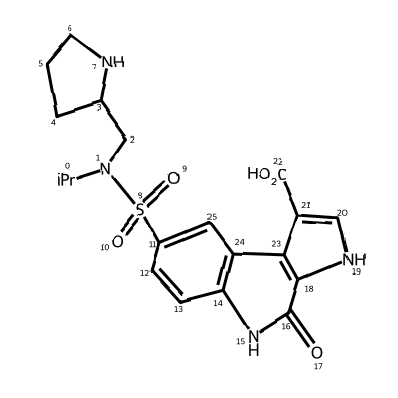 CC(C)N(CC1CCCN1)S(=O)(=O)c1ccc2[nH]c(=O)c3[nH]cc(C(=O)O)c3c2c1